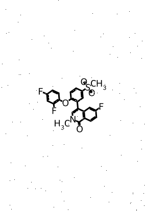 Cn1cc(-c2cc(S(C)(=O)=O)ccc2Oc2ccc(F)cc2F)c2cc(F)ccc2c1=O